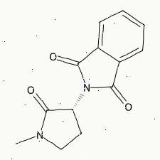 CN1CC[C@@H](N2C(=O)c3ccccc3C2=O)C1=O